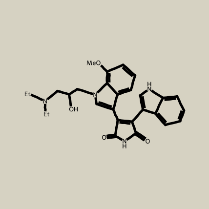 CCN(CC)CC(O)Cn1cc(C2=C(c3c[nH]c4ccccc34)C(=O)NC2=O)c2cccc(OC)c21